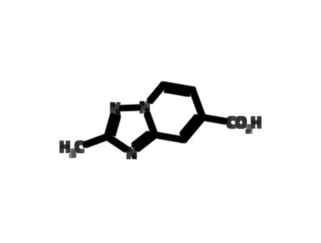 Cc1nc2cc(C(=O)O)ccn2n1